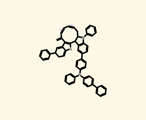 C=C1/C=C\C=C/CC2C(c3cc(-c4ccc(N(c5ccccc5)c5ccc(-c6ccccc6)cc5)cc4)ccc3N2c2ccccc2)c2sc3c(c21)=CC(c1ccccc1)CC=3